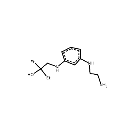 CCC(O)(CC)CNc1cccc(NCCN)c1